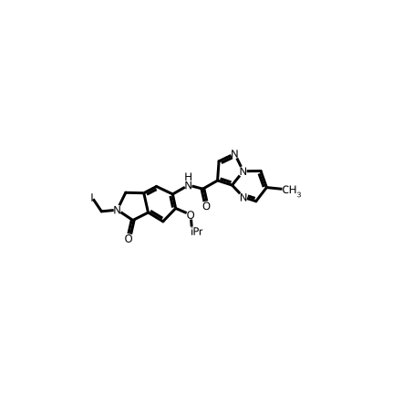 Cc1cnc2c(C(=O)Nc3cc4c(cc3OC(C)C)C(=O)N(CI)C4)cnn2c1